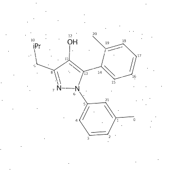 Cc1cccc(-n2nc(CC(C)C)c(O)c2-c2ccccc2C)c1